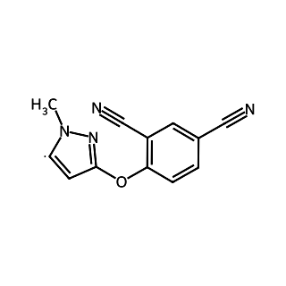 Cn1[c]cc(Oc2ccc(C#N)cc2C#N)n1